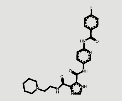 O=C(Nc1ccc(NC(=O)c2[nH]cnc2C(=O)NCCN2CCCCC2)cn1)c1ccc(F)cc1